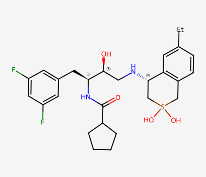 CCc1ccc2c(c1)[C@@H](NC[C@H](O)[C@H](Cc1cc(F)cc(F)c1)NC(=O)C1CCCC1)CS(O)(O)C2